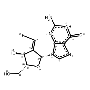 Nc1nc2c(ncn2[C@@H]2O[C@H](CO)[C@@H](O)C2=CF)c(=O)[nH]1